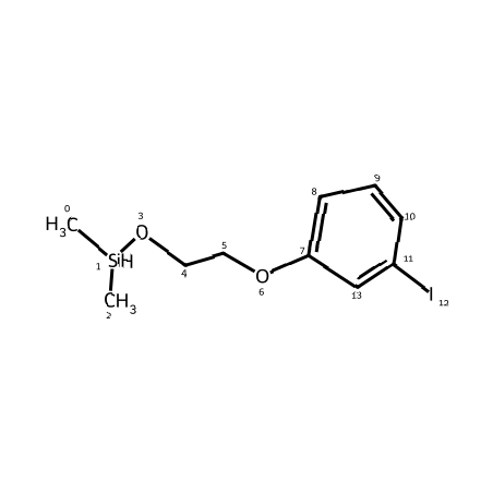 C[SiH](C)OCCOc1cccc(I)c1